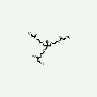 C=CC(=C)OCCOCC(CC)(COCCOC(=O)C=C)COCCOC(=O)C=C